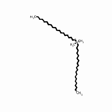 CCCCCCCCCCCCCCCCCCCCC[N+](C)(C)SCCCCCCCCCCCCCCCCCCC